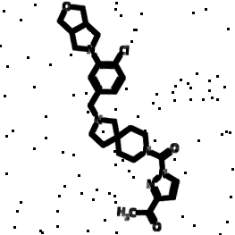 CC(=O)c1ccn(C(=O)N2CCC3(CCN(Cc4ccc(Cl)c(N5CC6COCC6C5)c4)C3)CC2)n1